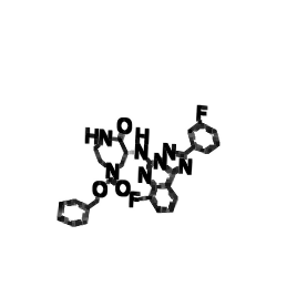 O=C1NCCN(C(=O)OCc2ccccc2)C[C@H]1Nc1nc2c(F)cccc2c2nc(-c3cccc(F)c3)nn12